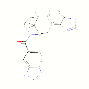 CC12CCN(C(=O)c3ccc4nc[nH]c4c3)C(Cc3c1ccc1[nH]cnc31)C2(C)C